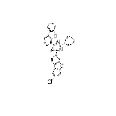 ClC1=CC2c3ccc(-c4nc(-c5ccccc5)nc(-c5cccc6c5oc5ccccc56)n4)cc3OC2C=C1